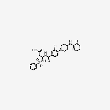 O=C(O)CC(NC(=O)c1ccc(N2CCC(NC3=NCCCN3)CC2)c(Cl)c1)NS(=O)(=O)c1ccccc1